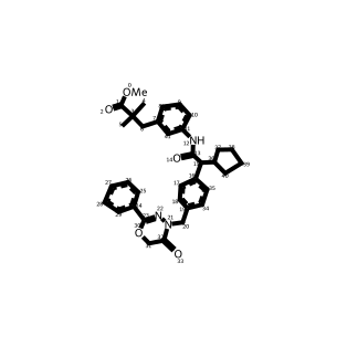 COC(=O)C(C)(C)Cc1cccc(NC(=O)C(c2ccc(CN3N=C(c4ccccc4)OCC3=O)cc2)C2CCCC2)c1